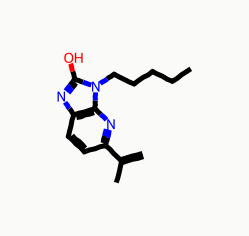 C=C(C)c1ccc2nc(O)n(CCCCC)c2n1